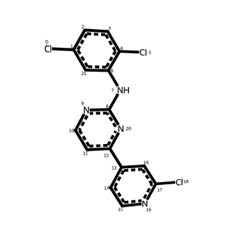 Clc1ccc(Cl)c(Nc2nccc(-c3ccnc(Cl)c3)n2)c1